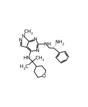 Cn1ncc2c(NC(C)(C)C3CCOCC3)nc(NC[C@H](N)c3ccccc3)nc21